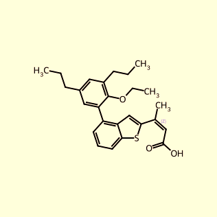 CCCc1cc(CCC)c(OCC)c(-c2cccc3sc(/C(C)=C\C(=O)O)cc23)c1